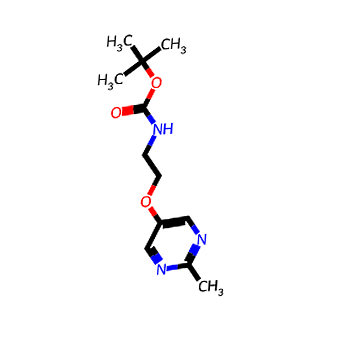 Cc1ncc(OCCNC(=O)OC(C)(C)C)cn1